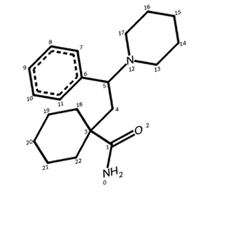 NC(=O)C1(CC(c2ccccc2)N2CCCCC2)CCCCC1